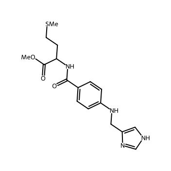 COC(=O)C(CCSC)NC(=O)c1ccc(NCc2c[nH]cn2)cc1